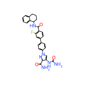 NC(=O)Nc1cn(-c2ccc(-c3ccc(C(=O)NC4CCCc5ccccc54)c(F)c3)cc2)nc1C(N)=O